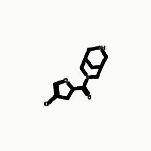 O=C(C1CC(Cl)=CO1)N1CC2CNCC(C2)C1